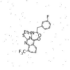 CCSc1nc2c(C(F)(F)F)cccc2c(=O)n1NC(=O)Cc1cccc(F)c1